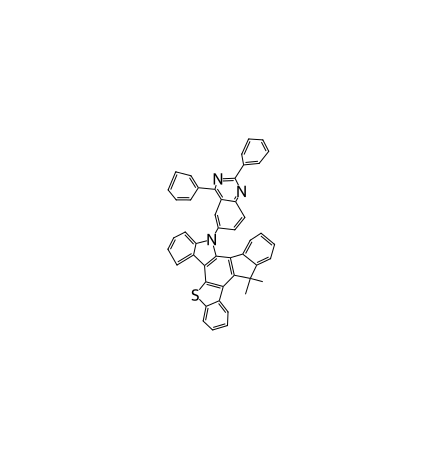 CC1(C)c2ccccc2-c2c1c1c3ccccc3sc1c1c3ccccc3n(-c3ccc4nc(-c5ccccc5)nc(-c5ccccc5)c4c3)c21